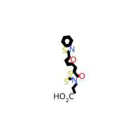 O=C(O)CCCN1C(=O)C(=Cc2ccc(-c3nc4ccccc4s3)o2)SC1=S